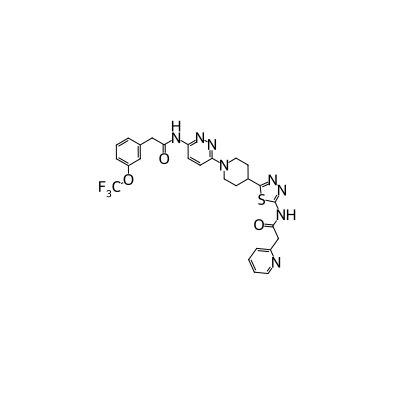 O=C(Cc1cccc(OC(F)(F)F)c1)Nc1ccc(N2CCC(c3nnc(NC(=O)Cc4ccccn4)s3)CC2)nn1